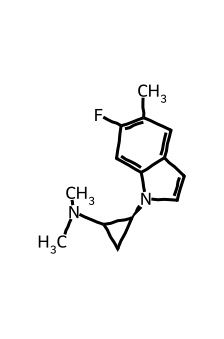 Cc1cc2ccn([C@H]3CC3N(C)C)c2cc1F